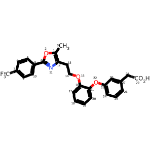 Cc1oc(-c2ccc(C(F)(F)F)cc2)nc1CCOc1ccccc1Oc1cccc(CC(=O)O)c1